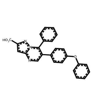 O=C(O)c1cc2ncc(-c3ccc(Oc4ccccc4)cc3)c(-c3ccccc3)n2n1